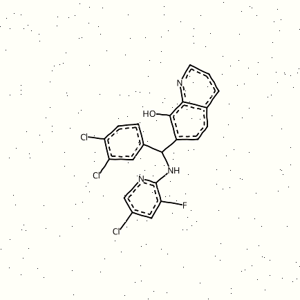 Oc1c(C(Nc2ncc(Cl)cc2F)c2ccc(Cl)c(Cl)c2)ccc2cccnc12